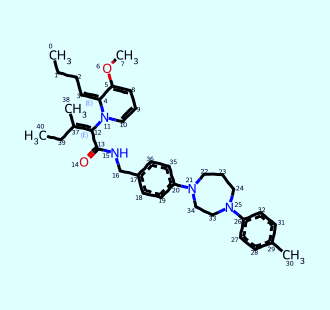 CCC/C=C1\C(OC)=CC=CN1/C(C(=O)NCc1ccc(N2CCCN(c3ccc(C)cc3)CC2)cc1)=C(\C)CC